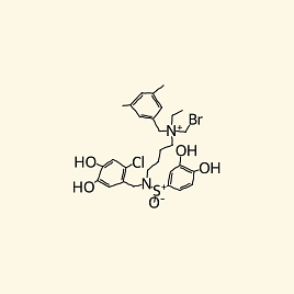 CC[N+](CBr)(CCCCN(Cc1cc(O)c(O)cc1Cl)[S+]([O-])c1ccc(O)c(O)c1)Cc1cc(C)cc(C)c1